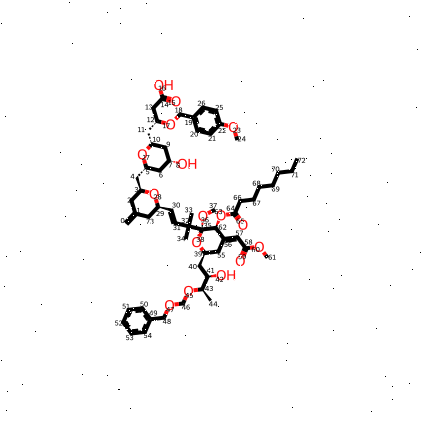 C=C1C[C@@H](C[C@H]2C[C@@H](O)C[C@@H](C[C@H](CC(=O)O)OCc3ccc(OC)cc3)O2)O[C@@H](/C=C/C(C)(C)[C@]2(OC)O[C@H](C[C@@H](O)[C@@H](C)OCOCc3ccccc3)C/C(=C\C(=O)OC)[C@@H]2OC(=O)CCCCCCC)C1